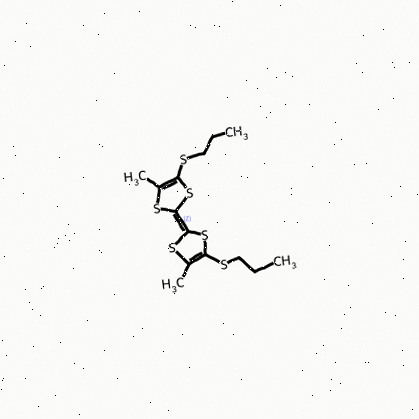 CCCSC1=C(C)S/C(=C2\SC(C)=C(SCCC)S2)S1